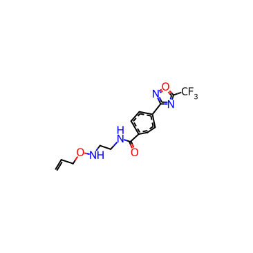 C=CCONCCNC(=O)c1ccc(-c2noc(C(F)(F)F)n2)cc1